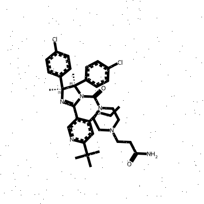 CCOc1cc(C(C)(C)C)ncc1C1=N[C@@](C)(c2ccc(Cl)cc2)[C@@](C)(c2ccc(Cl)cc2)N1C(=O)N1CCN(CCC(N)=O)CC1